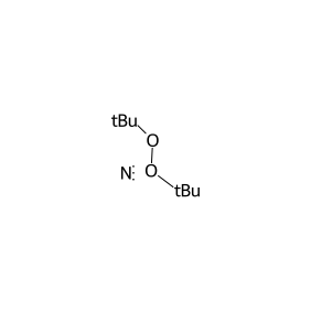 CC(C)(C)OOC(C)(C)C.[N]